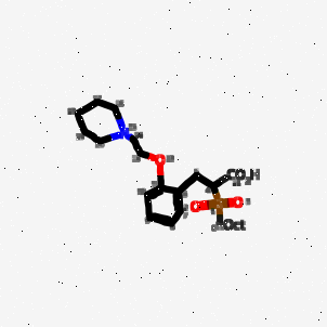 CCCCCCCCS(=O)(=O)C(Cc1ccccc1OCCN1CCCCC1)C(=O)O